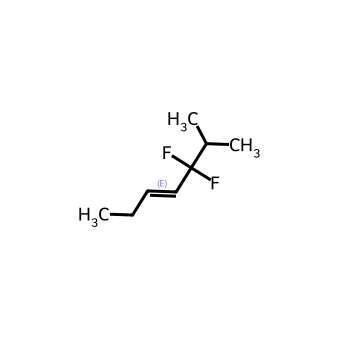 CC/C=C/C(F)(F)C(C)C